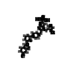 CCn1cncc1Cn1c(CN2CCN(c3cccc(OCc4ccc(Cl)cc4F)n3)CC2)nc2sc(P(=O)(O)O)cc21